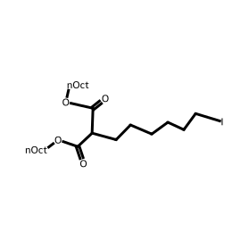 CCCCCCCCOC(=O)C(CCCCCCI)C(=O)OCCCCCCCC